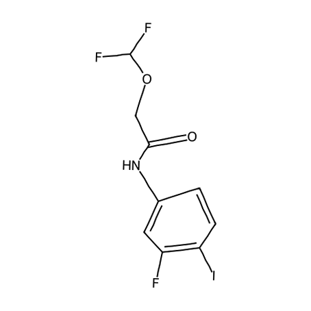 O=C(COC(F)F)Nc1ccc(I)c(F)c1